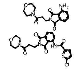 Nc1cccc2c1C(=O)N(CCC(=O)N1CCOCC1)C2=O.O=C(Nc1cccc2c1C(=O)N(CCC(=O)N1CCOCC1)C2=O)c1ccc(Cl)s1